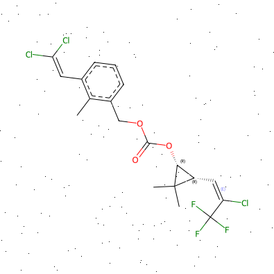 Cc1c(C=C(Cl)Cl)cccc1COC(=O)O[C@@H]1[C@H](/C=C(/Cl)C(F)(F)F)C1(C)C